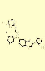 COc1cc(OC)cc(N(CCCc2nccc(OC)n2)c2ccc3ncc(-c4c[nH]nc4C)nc3c2)c1